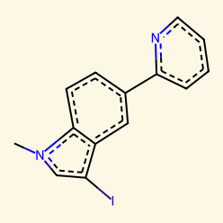 Cn1cc(I)c2cc(-c3ccccn3)ccc21